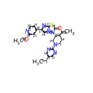 CCc1cnc(N2CCC([C@H](C)Oc3nn4cc(-c5ccnc(OC)c5)nc4s3)CC2)nc1